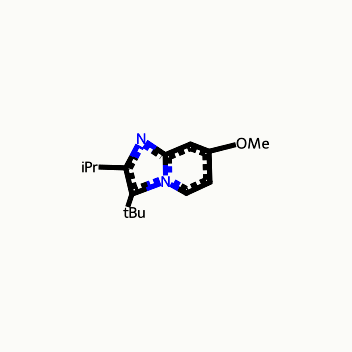 COc1ccn2c(C(C)(C)C)c(C(C)C)nc2c1